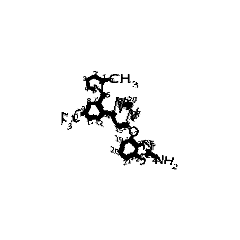 CC1CCCN1Cc1cc(C(F)(F)F)ccc1-c1cc(Oc2cccc3sc(N)nc23)ncn1